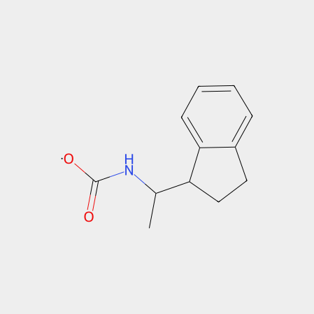 CC(NC([O])=O)C1CCc2ccccc21